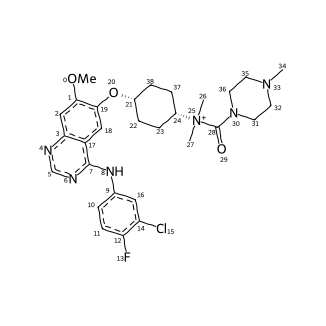 COc1cc2ncnc(Nc3ccc(F)c(Cl)c3)c2cc1O[C@H]1CC[C@@H]([N+](C)(C)C(=O)N2CCN(C)CC2)CC1